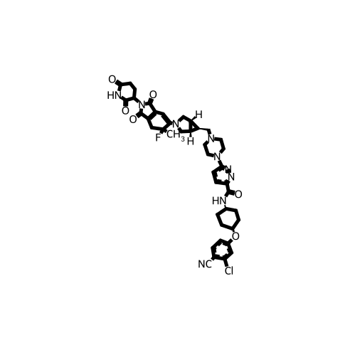 CC1(F)CC2=C(C=C1N1C[C@@H]3[C@@H](CN4CCN(c5ccc(C(=O)N[C@H]6CC[C@H](Oc7ccc(C#N)c(Cl)c7)CC6)nn5)CC4)[C@@H]3C1)C(=O)N(C1CCC(=O)NC1=O)C2=O